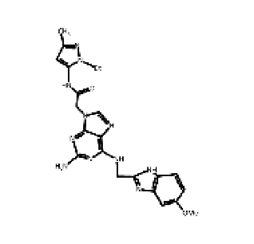 CCn1nc(C)cc1NC(=O)Cn1cnc2c(NCc3nc4cc(OC)ccc4[nH]3)nc(N)nc21